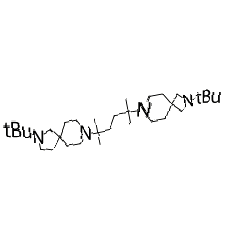 CC(C)(C)N1CCC2(CCN(C(C)(C)CCC(C)(C)N3CCC4(CC3)CN(C(C)(C)C)C4)CC2)C1